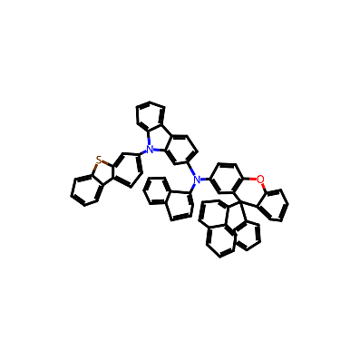 c1ccc(C2(c3cccc4ccccc34)c3ccccc3Oc3ccc(N(c4ccc5c6ccccc6n(-c6ccc7c(c6)sc6ccccc67)c5c4)c4cccc5ccccc45)cc32)cc1